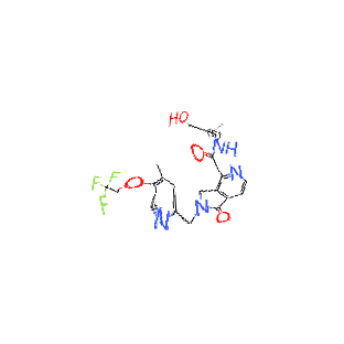 Cc1cc(CN2Cc3c(ccnc3C(=O)N[C@@H](C)CO)C2=O)ncc1OCC(F)(F)F